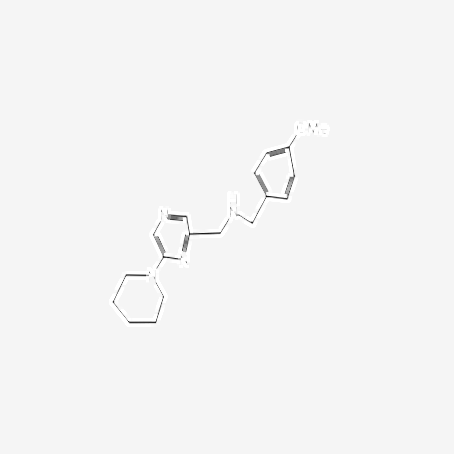 COc1ccc(CNCc2cncc(N3CCCCC3)n2)cc1